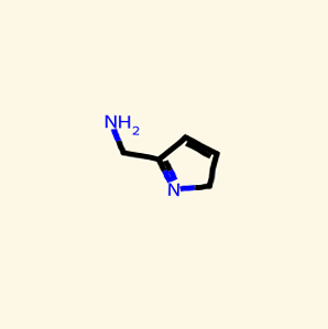 NCC1=NCC=C1